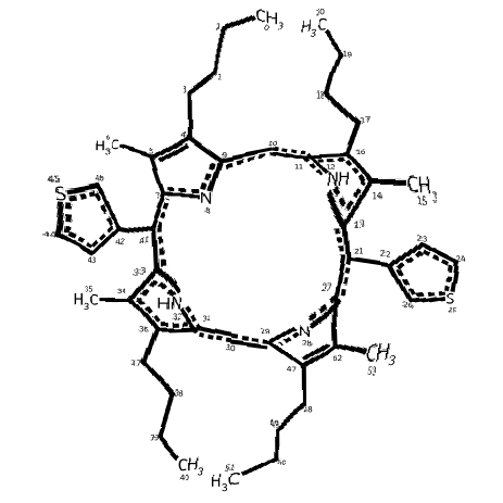 CCCCC1=C(C)c2nc1cc1[nH]c(c(C)c1CCCC)c(-c1ccsc1)c1nc(cc3[nH]c(c(C)c3CCCC)c2-c2ccsc2)C(CCCC)=C1C